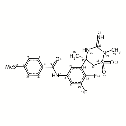 CSc1ccc(C(=O)Nc2cc(F)c(F)c([C@]3(C)CS(=O)(=O)N(C)C(=N)N3)c2)cc1